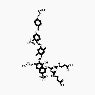 Cc1cc(N=Nc2c(SOOO)cc3cc(S(=O)(=O)O)cc(Nc4nc(NCCC(=O)O)nc(NCCC(=O)O)n4)c3c2O)c(C)cc1N=Nc1ccc(N=Nc2ccc(SOOO)cc2)cc1S(=O)(=O)O